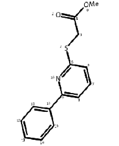 COC(=O)CSc1cccc(-c2ccccc2)n1